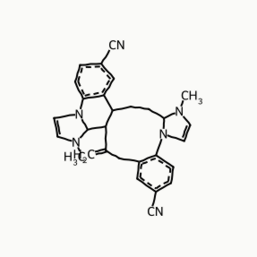 C=C1Cc2cc(C#N)ccc2N2C=CN(C)C2CCC2c3cc(C#N)ccc3N3C=CN(C)C3C12